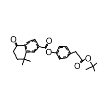 CC(C)(C)OC(=O)Cc1ccc(OC(=O)c2ccc3c(c2)C(C)(C)CCC3=O)cc1